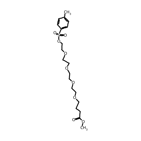 COC(=O)CCCOCCOCCOCCOCCOS(=O)(=O)c1ccc(C)cc1